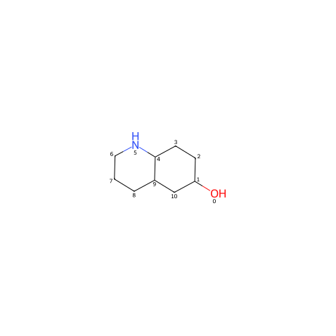 OC1CCC2NCCCC2C1